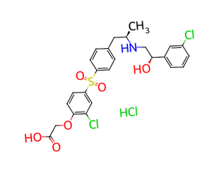 C[C@H](Cc1ccc(S(=O)(=O)c2ccc(OCC(=O)O)c(Cl)c2)cc1)NC[C@H](O)c1cccc(Cl)c1.Cl